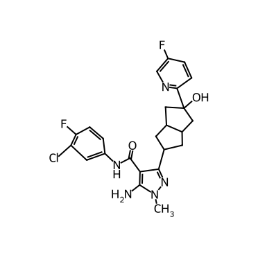 Cn1nc(C2CC3CC(O)(c4ccc(F)cn4)CC3C2)c(C(=O)Nc2ccc(F)c(Cl)c2)c1N